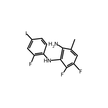 Cc1cc(F)c(F)c(Nc2ccc(I)cc2F)c1N